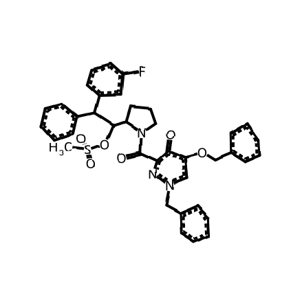 CS(=O)(=O)OC(C(c1ccccc1)c1cccc(F)c1)C1CCCN1C(=O)c1nn(Cc2ccccc2)cc(OCc2ccccc2)c1=O